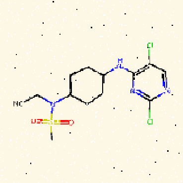 CS(=O)(=O)N(CC#N)C1CCC(Nc2nc(Cl)ncc2Cl)CC1